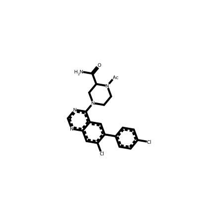 CC(=O)N1CCN(c2ncnc3cc(Cl)c(-c4ccc(Cl)cc4)cc23)CC1C(N)=O